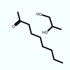 CC(O)CO.CCCCCCCC(C)=O